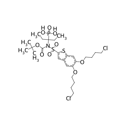 CCC(CC)(N(C(=O)OC(C)(C)C)S(=O)(=O)c1cc2cc(OCCCCCl)c(OCCCCCl)cc2s1)P(=O)(O)O